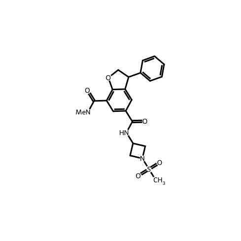 CNC(=O)c1cc(C(=O)NC2CN(S(C)(=O)=O)C2)cc2c1OCC2c1ccccc1